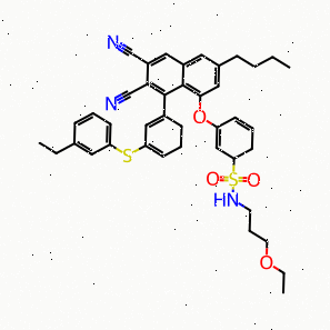 CCCCc1cc(OC2=CC(S(=O)(=O)NCCCOCC)CC=C2)c2c(C3=CC(Sc4cccc(CC)c4)=CCC3)c(C#N)c(C#N)cc2c1